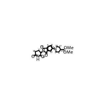 COC(OC)C1CCN(c2ccc3c(c2)C(=O)N(C2CCC(=O)NC2=O)C3=O)CC1